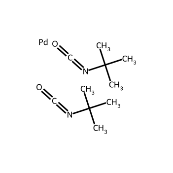 CC(C)(C)N=C=O.CC(C)(C)N=C=O.[Pd]